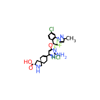 Cc1ccn(-c2cc(Cl)ccc2[C@@H](Oc2cc(C3=CC[C@@]4(CC3)CN[C@H](C(=O)O)C4)nc(N)n2)C(F)(F)F)n1.Cl